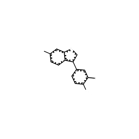 O=C(O)c1ccc(-c2c[nH]c3cc(F)ccc23)cc1F